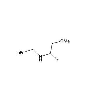 CCCCN[C@@H](C)COC